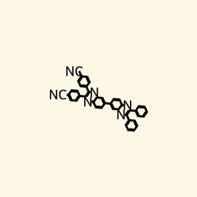 N#Cc1ccc(-c2nc3ccc(-c4ccc5nc(-c6ccccc6)c(-c6ccccc6)nc5c4)cc3nc2-c2ccc(C#N)cc2)cc1